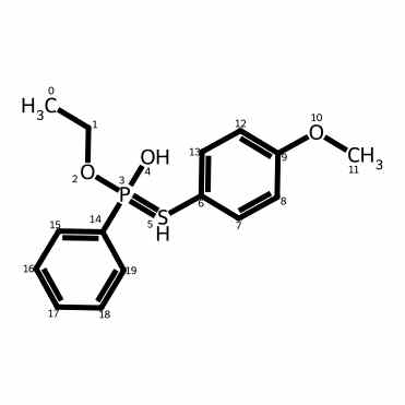 CCOP(O)(=[SH]c1ccc(OC)cc1)c1ccccc1